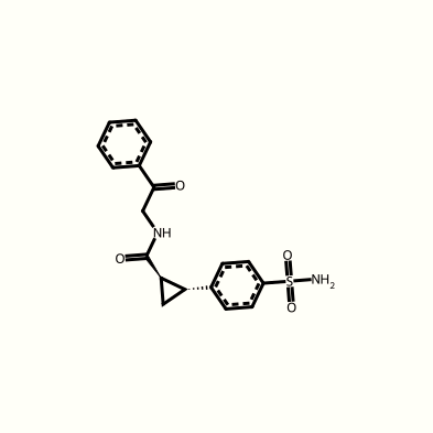 NS(=O)(=O)c1ccc([C@@H]2C[C@H]2C(=O)NCC(=O)c2ccccc2)cc1